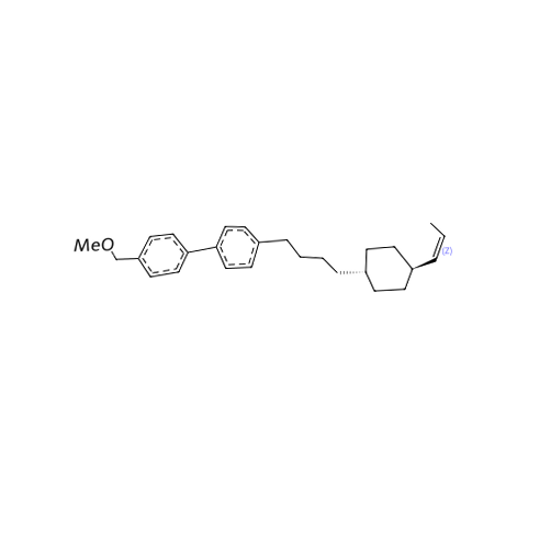 C/C=C\[C@H]1CC[C@H](CCCCc2ccc(-c3ccc(COC)cc3)cc2)CC1